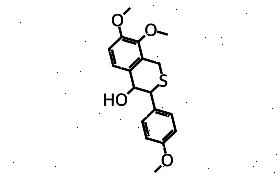 COc1ccc(C2SCc3c(ccc(OC)c3OC)C2O)cc1